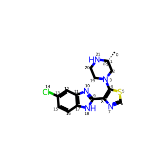 C[C@@H]1CN(c2scnc2-c2nc3cc(Cl)ccc3[nH]2)CCN1